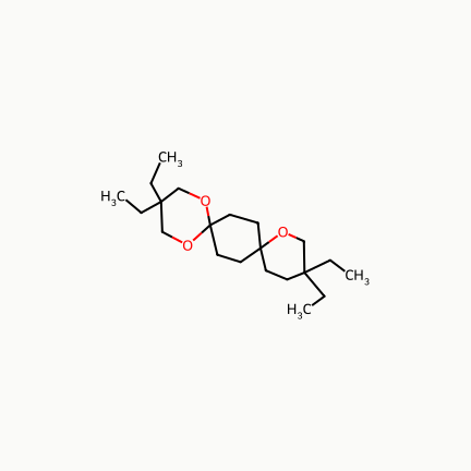 CCC1(CC)CCC2(CCC3(CC2)OCC(CC)(CC)CO3)OC1